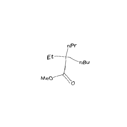 CCCCC(CC)(CCC)C(=O)OC